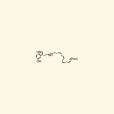 CCCCC/C=C\C/C=C\C/C=C\C/C=C\CCCCNCCc1c[nH]c2ccc(O)cc12